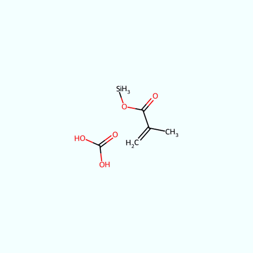 C=C(C)C(=O)O[SiH3].O=C(O)O